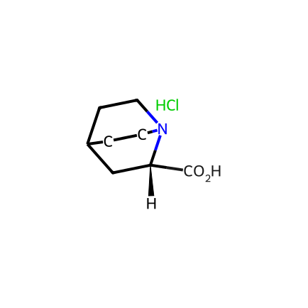 Cl.O=C(O)[C@@H]1CC2CCN1CC2